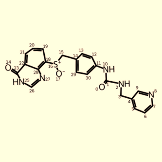 O=C(NCc1cccnc1)Nc1ccc(C[S+]([O-])c2cccc3c(=O)[nH]cnc23)cc1